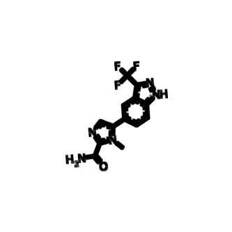 Cn1c(-c2ccc3[nH]nc(C(F)(F)F)c3c2)cnc1C(N)=O